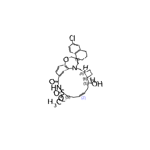 CC[C@H]1C/C=C\C[C@H](O)[C@@H]2CC[C@H]2CN2C[C@@]3(CCCc4cc(Cl)ccc43)COc3ccc(cc32)C(=O)NS1(=O)=O